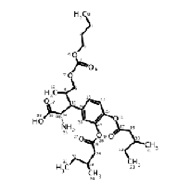 CCCCOC(=O)OCC(C)C(c1ccc(OC(=O)CC(C)CC)c(OC(=O)CC(C)CC)c1)[C@H](N)C(=O)O